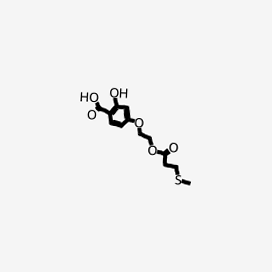 CSCCC(=O)OCCOc1ccc(C(=O)O)c(O)c1